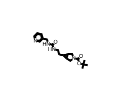 CC(C)(C)OC(=O)N1CC2C(CCNC(=O)NCc3cccnc3)C2C1